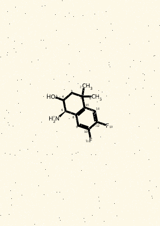 CC1(C)CC(O)[C@H](N)c2cc(F)c(F)cc21